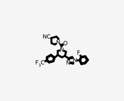 N#CC1CCN(C(=O)N2CC(c3ccc(C(F)(F)F)cc3)CC(c3cn(-c4ccccc4F)cn3)C2)CC1